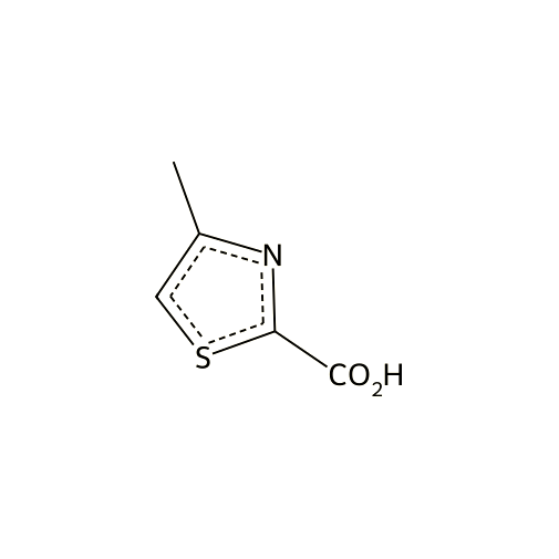 Cc1csc(C(=O)O)n1